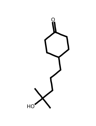 CC(C)(O)CCCC1CCC(=O)CC1